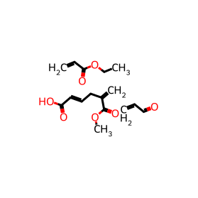 C=C(CC=CC(=O)O)C(=O)OC.C=CC(=O)OCC.C=CC=O